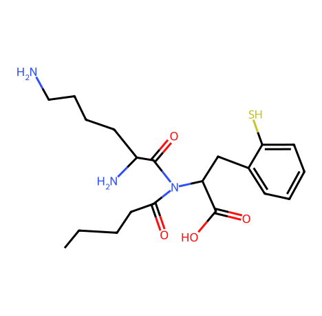 CCCCC(=O)N(C(=O)C(N)CCCCN)C(Cc1ccccc1S)C(=O)O